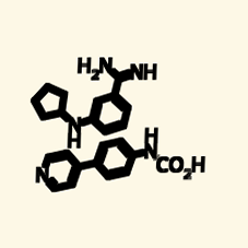 N=C(N)c1cccc(NC2CCCC2)c1.O=C(O)Nc1ccc(-c2ccncc2)cc1